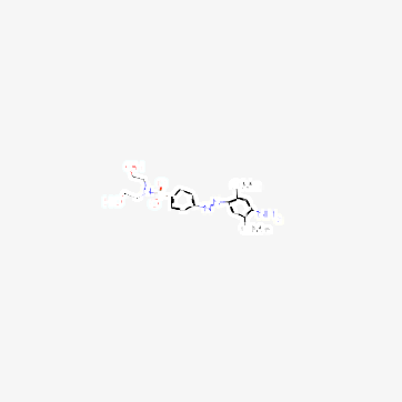 COc1cc(/N=N/c2ccc(S(=O)(=O)N(CCO)CCO)cc2)c(OC)cc1N